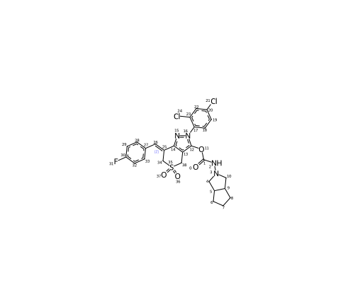 O=C(NN1CC2CCCC2C1)Oc1c2c(nn1-c1ccc(Cl)cc1Cl)/C(=C/c1ccc(F)cc1)CS(=O)(=O)C2